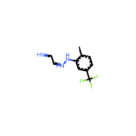 Cc1ccc(C(F)(F)F)cc1N/N=C\C=N